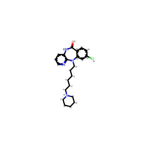 O=C1Nc2cccnc2N(CCCCCCN2CCCCC2)c2cc(Cl)ccc21